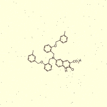 Cc1cccc(COc2ccccc2CN(Cc2ccccc2OCc2cccc(C)c2)c2ccc3[nH]c(=O)c(C(=O)O)cc3c2)c1